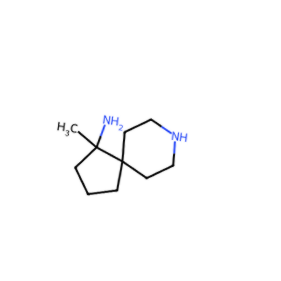 CC1(N)CCCC12CCNCC2